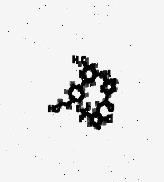 Cc1nc(Nc2ncc(C(=O)Cc3c(C(F)(F)F)csc3Cl)s2)cc(N2CCN(CCO)CC2)n1